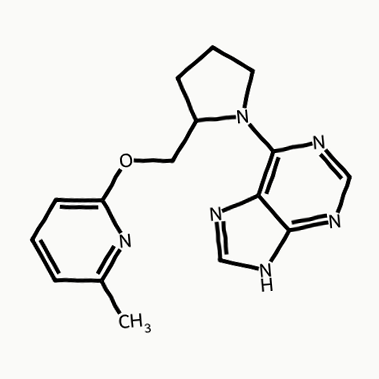 Cc1cccc(OCC2CCCN2c2ncnc3[nH]cnc23)n1